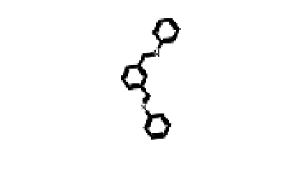 C(=N\c1ccccc1)/c1cccc(/C=N/c2ccccc2)c1